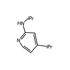 CC(C)Nc1cc(C(C)C)ccn1